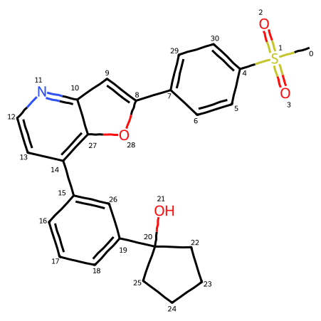 CS(=O)(=O)c1ccc(-c2cc3nccc(-c4cccc(C5(O)CCCC5)c4)c3o2)cc1